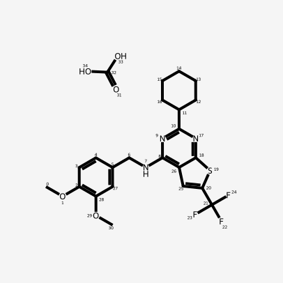 COc1ccc(CNc2nc(C3CCCCC3)nc3sc(C(F)(F)F)cc23)cc1OC.O=C(O)O